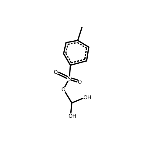 Cc1ccc(S(=O)(=O)OC(O)O)cc1